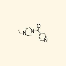 CCN1CCN(C(=O)c2ccncc2)CC1